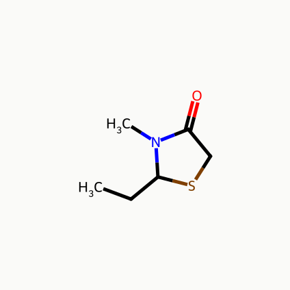 CCC1SCC(=O)N1C